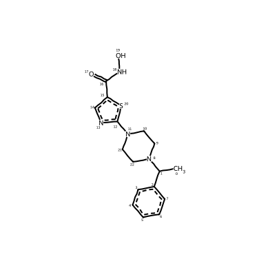 CC(c1ccccc1)N1CCN(c2ncc(C(=O)NO)s2)CC1